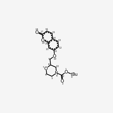 CC(C)(C)OC(=O)N1CCOC(COc2ccc3ccc(=O)oc3c2)C1